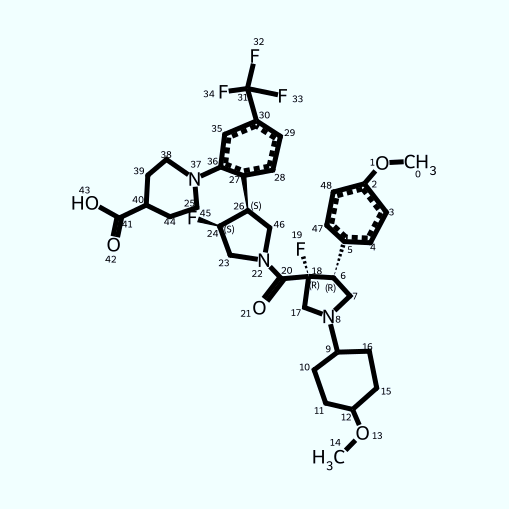 COc1ccc([C@@H]2CN(C3CCC(OC)CC3)C[C@@]2(F)C(=O)N2C[C@@H](F)[C@@H](c3ccc(C(F)(F)F)cc3N3CCC(C(=O)O)CC3)C2)cc1